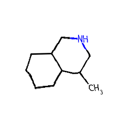 CC1CNCC2CCCCC12